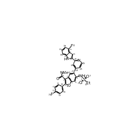 CCS(=O)(=O)Nc1cc2oc(-c3ccc(F)cc3)c(C(=O)NC)c2cc1-c1ccnc(-c2cc3c(F)cccc3[nH]2)c1